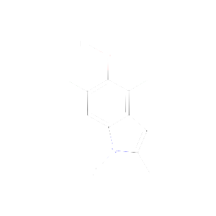 CCOC(=O)n1c(C)cc2c(F)c(OCC)c(F)cc21